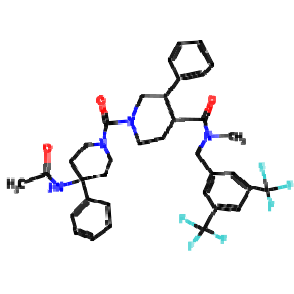 CC(=O)NC1(c2ccccc2)CCN(C(=O)N2CCC(C(=O)N(C)Cc3cc(C(F)(F)F)cc(C(F)(F)F)c3)C(c3ccccc3)C2)CC1